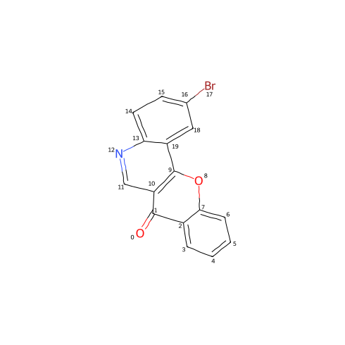 O=c1c2ccccc2oc2c1cnc1ccc(Br)cc12